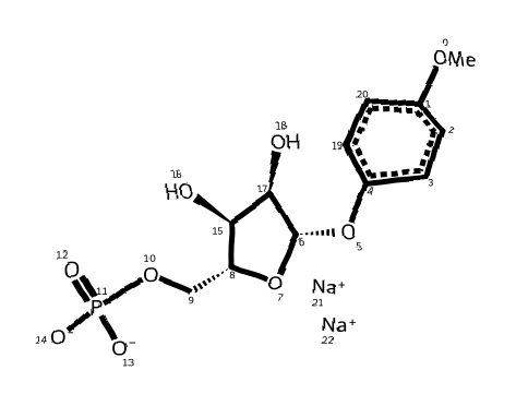 COc1ccc(O[C@@H]2O[C@H](COP(=O)([O-])[O-])[C@@H](O)[C@H]2O)cc1.[Na+].[Na+]